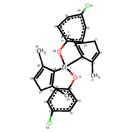 CC1=CCC(C)=[C]1[Zr]([O]c1ccc(Cl)cc1)([O]c1ccc(Cl)cc1)[C]1=C(C)CC=C1C